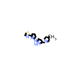 CC1CCN(Cc2ccc(Nc3cccc(-c4nccs4)n3)nc2)CC1